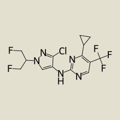 FCC(CF)n1cc(Nc2ncc(C(F)(F)F)c(C3CC3)n2)c(Cl)n1